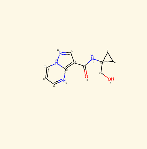 O=C(NC1(CO)CC1)c1cnn2cccnc12